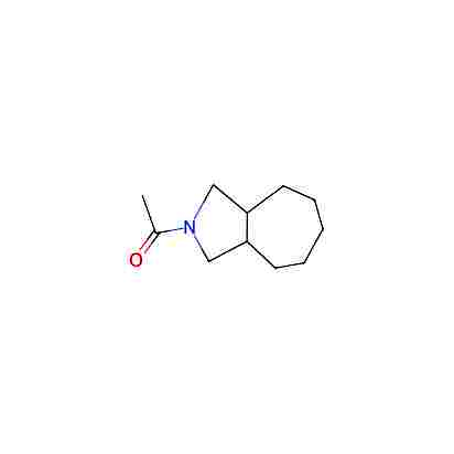 CC(=O)N1CC2CCCCCC2C1